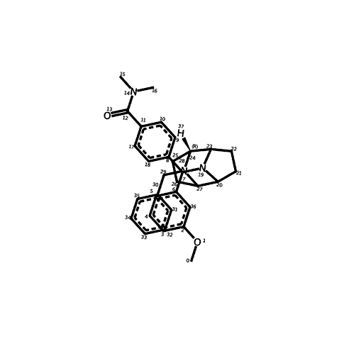 COc1cccc(C(c2ccc(C(=O)N(C)C)cc2)N2C3CCC2[C@H]2CCC3N2Cc2ccccc2)c1